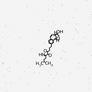 CC(C)CCC(=N)C(=O)C(=O)CCCc1ccc2c(c1)[C@@H]1C[C@@H](C=C2)[C@H](O)CO1